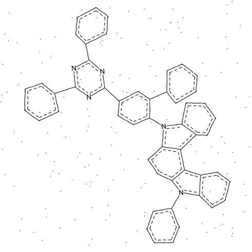 c1ccc(-c2nc(-c3ccccc3)nc(-c3ccc(-n4c5ccccc5c5c6c7ccccc7n(-c7ccccc7)c6ccc54)c(-c4ccccc4)c3)n2)cc1